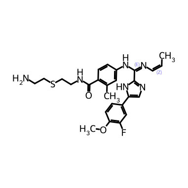 C/C=C\N=C(\Nc1ccc(C(=O)NCCSCCN)c(C)c1)c1ncc(-c2ccc(OC)c(F)c2)[nH]1